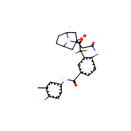 Cc1cc(NC(=O)c2ccc(F)c(C(F)(F)C(=O)N3[C@@H]4CC[C@H]3CC(O)(CC(N)=O)C4)c2)ccc1F